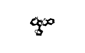 Fc1ccccc1Cn1nc2ncccc2c1-c1ccco1